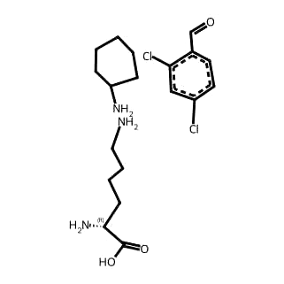 NC1CCCCC1.NCCCC[C@@H](N)C(=O)O.O=Cc1ccc(Cl)cc1Cl